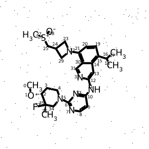 CO[C@@H]1CCN(c2nccc(Nc3cc4c(C(C)C)ccc(N5CC(C[S@@+](C)[O-])C5)c4cn3)n2)C[C@]1(C)F